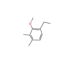 CCc1ccc(C)c(C)c1OC